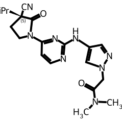 CC(C)[C@]1(C#N)CCN(c2ccnc(Nc3cnn(CC(=O)N(C)C)c3)n2)C1=O